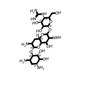 CNC1C(O[C@H]2OC(CO)[C@@H](NC(=N)N)[C@H](O)C2O)O[C@H]2CC(N)[C@@H](O[C@@H]3C(N)C[C@@H](N)C(O)[C@H]3O)OC2C1O